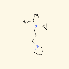 CC(C)N(CCCN1CCCC1)C1CC1